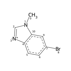 CN1C=[N+]c2ccc(Br)cc21